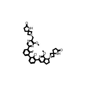 COc1nc(-c2cccc(-c3cccc(-c4cc5c(c(OC)n4)C(N4CC6(CCC(=O)N6)C4)CC5)c3Cl)c2F)cnc1CN1CC2(CCC(=O)N2)C1